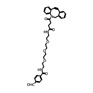 O=Cc1ccc(C(=O)NCCOCCOCCOCCNC(=O)CCC(=O)N2Cc3ccccc3C#Cc3ccccc32)cc1